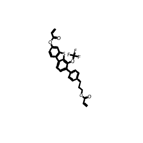 C=CC(=O)OCCCc1ccc(-c2ccc3c(sc4cc(OC(=O)C=C)ccc43)c2OC(F)(F)F)cc1